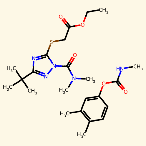 CCOC(=O)CSc1nc(C(C)(C)C)nn1C(=O)N(C)C.CNC(=O)Oc1ccc(C)c(C)c1